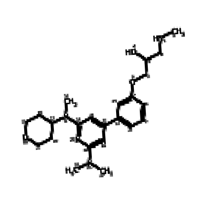 CNCC(O)COc1cccc(-c2cc(N(C)C3CCOCC3)nc(N(C)C)n2)c1